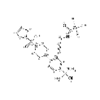 CC(C)(O)c1ccc(N2CCN(S(=O)(=O)c3cccs3)CC2)c(C#CCNC(=O)C(F)(F)F)c1